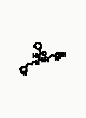 O=C(NC(=NCCCc1cccnc1)NCCCc1c[nH]cn1)c1ccccc1